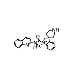 CC(=O)[N+]1(C(=O)Nc2ccc3ccccc3n2)CC2(CCNCC2)c2ccccc21